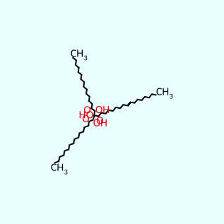 CCCCCCCCC=CCCCCCCCC(=O)C(O)(C(O)C(=O)CCCCCCCCCCCCCCC)C(O)C(=O)CCCCCCCCCCCCCCC